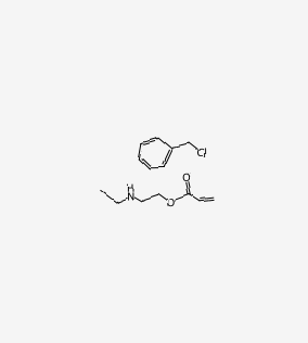 C=CC(=O)OCCNCC.ClCc1ccccc1